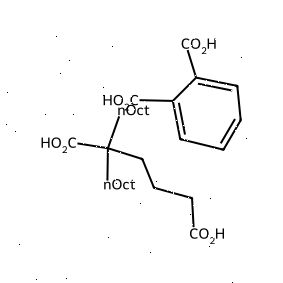 CCCCCCCCC(CCCCCCCC)(CCCC(=O)O)C(=O)O.O=C(O)c1ccccc1C(=O)O